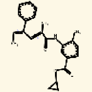 C/C=C(\C=C(/C)C(=O)Nc1cc(C(=O)NC2CC2)ccc1C)c1ccccc1